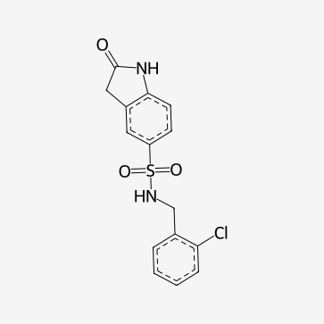 O=C1Cc2cc(S(=O)(=O)NCc3ccccc3Cl)ccc2N1